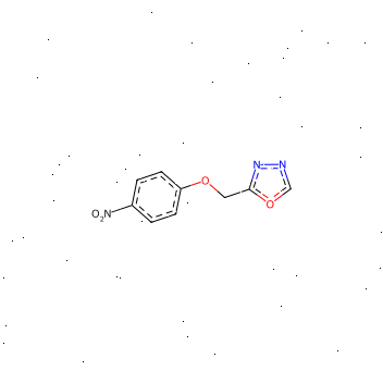 O=[N+]([O-])c1ccc(OCc2nnco2)cc1